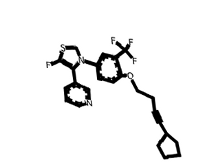 FC1=C(c2cccnc2)N(c2ccc(OCCC#CC3CCCC3)c(C(F)(F)F)c2)CS1